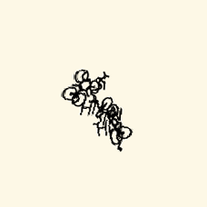 C=CCOC(=O)NCc1noc(C(=S)C(=O)NCCSCc2c(O[Si](C)(C)C(C)(C)C(C)C)cc(OC)c(C)c2C(=O)OC)n1